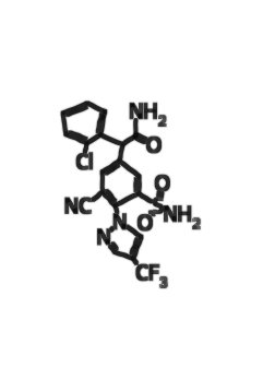 N#Cc1cc(C(C(N)=O)c2ccccc2Cl)cc(S(N)(=O)=O)c1-n1cc(C(F)(F)F)cn1